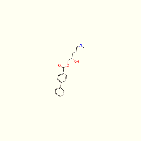 C/N=C\CC[C@H](O)COC(=O)c1ccc(-c2ccccc2)cc1